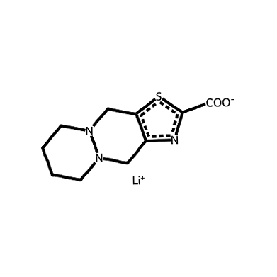 O=C([O-])c1nc2c(s1)CN1CCCCN1C2.[Li+]